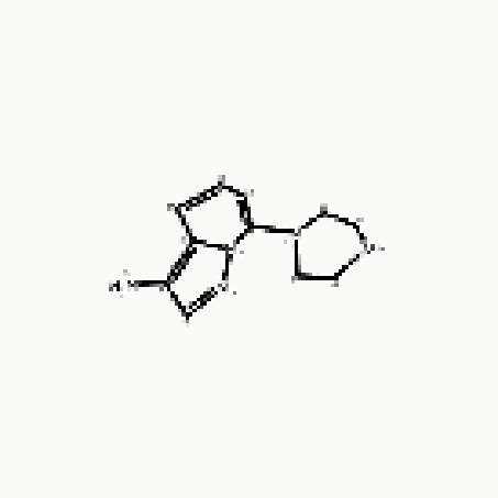 Nc1cnn2c(N3CCOCC3)cccc12